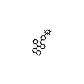 CC1(C)CSC(c2ccc(-c3c4ccccc4c(-c4cccc5ccccc45)c4ccccc34)cc2)=N1